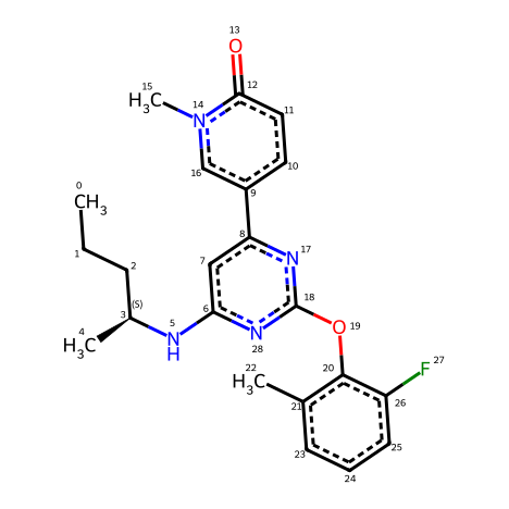 CCC[C@H](C)Nc1cc(-c2ccc(=O)n(C)c2)nc(Oc2c(C)cccc2F)n1